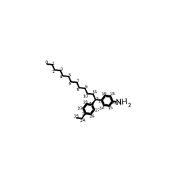 CCCCCCCCCCCCC(c1ccc(N)cc1)c1ccc(CC)cc1